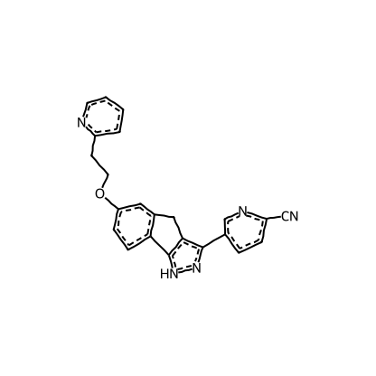 N#Cc1ccc(-c2n[nH]c3c2Cc2cc(OCCc4ccccn4)ccc2-3)cn1